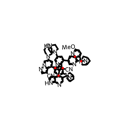 COc1ccc(CN2C3CC2CN(c2ccc(-c4cc(N5CCNCC5)cn5nc(-c6c(CN7C8CC7CN(c7ccc(-c9cc(N%10CCOCC%10)cn%10ncc(C#N)c9%10)cn7)C8)cnc7[nH]ccc67)c(C#N)c45)cn2)C3)cn1